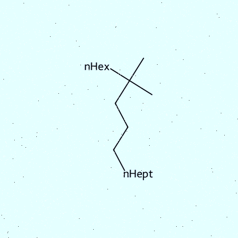 [CH2]CCCCCCCCCC(C)(C)CCCCCC